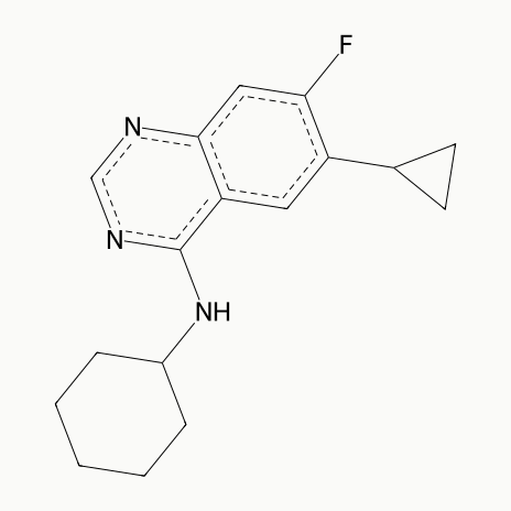 Fc1cc2ncnc(NC3CCCCC3)c2cc1C1CC1